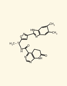 Cc1cc2nc(-c3cc([C@@H](C)NC(=O)c4ncnc5c4CCC(=O)N5)on3)[nH]c2cc1C